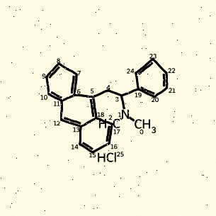 CN(C)C(Cc1c2ccccc2cc2ccccc12)c1ccccc1.Cl